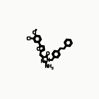 COc1ccc(-c2ccc(/C=C3/N=C(N)N(Cc4ccc(CCc5ccccc5)cc4)C3=O)o2)cc1Cl